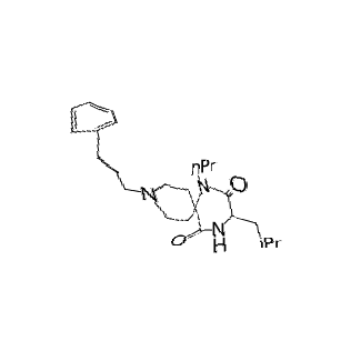 CCCN1C(=O)C(CC(C)C)NC(=O)C12CCN(CCCc1ccccc1)CC2